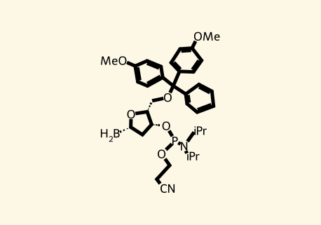 B[C@H]1C[C@@H](OP(OCCC#N)N(C(C)C)C(C)C)[C@@H](COC(c2ccccc2)(c2ccc(OC)cc2)c2ccc(OC)cc2)O1